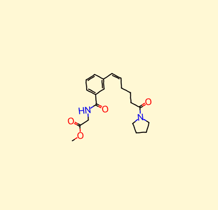 COC(=O)CNC(=O)c1cccc(/C=C\CCCC(=O)N2CCCC2)c1